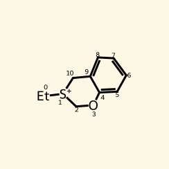 CC[S+]1COc2ccccc2C1